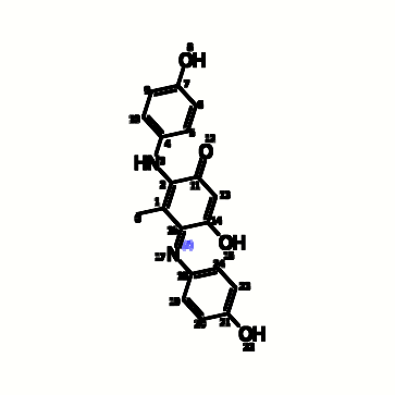 CC1=C(Nc2ccc(O)cc2)C(=O)C=C(O)/C1=N\c1ccc(O)cc1